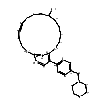 OC1CCCC=CCCNc2ncc(-c3ccc(CN4CCOCC4)cn3)c(n2)NCCCC1